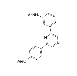 COc1ccc(-c2cncc(-c3cccc(NC(C)=O)c3)n2)cc1